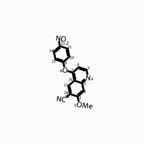 COc1cc2nccc(Oc3ccc([N+](=O)[O-])cc3)c2cc1C#N